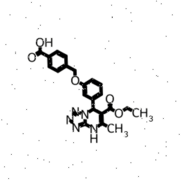 CCOC(=O)C1=C(C)Nc2nnnn2C1c1cccc(OCc2ccc(C(=O)O)cc2)c1